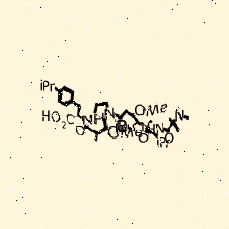 CCC(C)[C@@H](C(CC(=O)N1CCC[C@H]1[C@H](OC)[C@@H](C)C(=O)N[C@@H](Cc1ccc(C(C)C)cc1)C(=O)O)OC)N(C)C(=O)[C@@H](NC(=O)C(C)(C)N(C)C)C(C)C